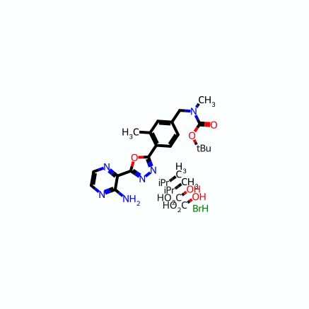 Br.CC(C)C.CC(C)C.Cc1cc(CN(C)C(=O)OC(C)(C)C)ccc1-c1nnc(-c2nccnc2N)o1.O=C(O)O.O=C(O)O